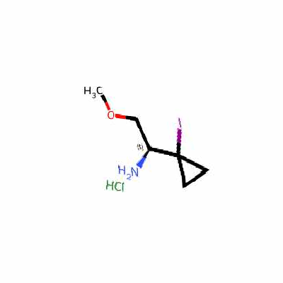 COC[C@H](N)C1(I)CC1.Cl